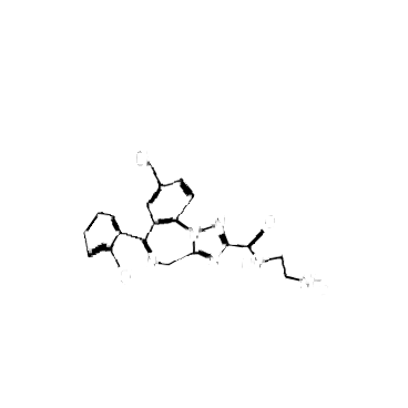 NCCNC(=O)c1nc2n(n1)-c1ccc(Cl)cc1C(c1ccccc1Cl)=NC2